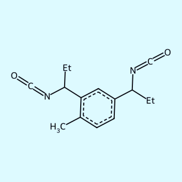 CCC(N=C=O)c1ccc(C)c(C(CC)N=C=O)c1